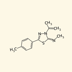 C=C(C)n1nc(-c2ccc(C)cc2)s/c1=N/C